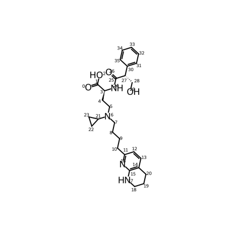 O=C(O)[C@H](CCN(CCCCc1ccc2c(n1)NCCC2)C1CC1)NC(=O)[C@@H](CO)c1ccccc1